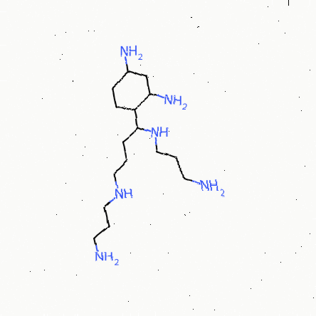 NCCCNCCCC(NCCCN)C1CCC(N)CC1N